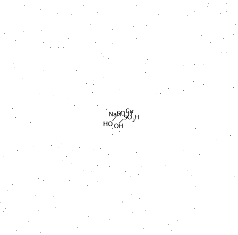 O=S(=O)(O)O.O=S(=O)(O)O.[Cu].[NaH]